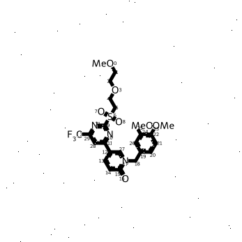 COCCOCCS(=O)(=O)c1nc(-c2ccc(=O)n(Cc3ccc(OC)c(OC)c3)c2)cc(C(F)(F)F)n1